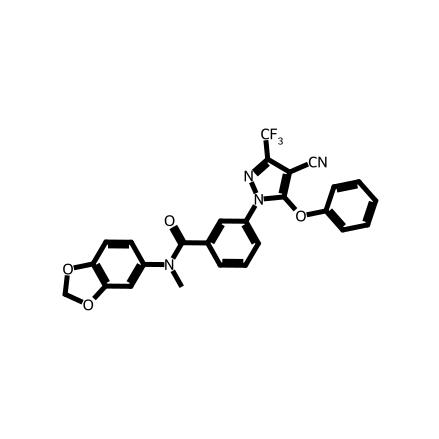 CN(C(=O)c1cccc(-n2nc(C(F)(F)F)c(C#N)c2Oc2ccccc2)c1)c1ccc2c(c1)OCO2